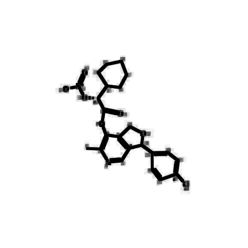 Cc1ncc2c(c1OC(=O)[C@H](O[N+](=O)[O-])C1CCCCC1)COC2c1ccc(Cl)cc1